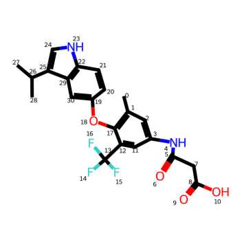 Cc1cc(NC(=O)CC(=O)O)cc(C(F)(F)F)c1Oc1ccc2[nH]cc(C(C)C)c2c1